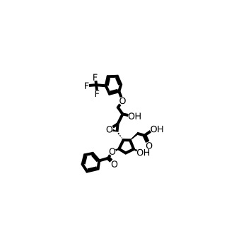 O=C(O)C[C@@H]1[C@@H]([C@H]2OC2C(O)COc2cccc(C(F)(F)F)c2)[C@H](OC(=O)c2ccccc2)C[C@@H]1O